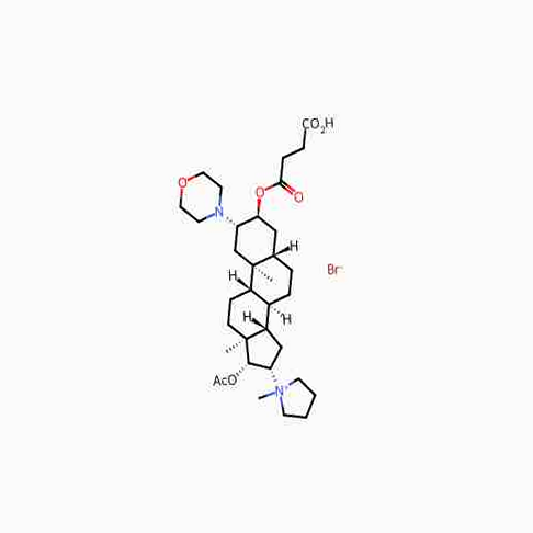 CC(=O)O[C@H]1[C@@H]([N+]2(C)CCCC2)C[C@H]2[C@@H]3CC[C@H]4C[C@H](OC(=O)CCC(=O)O)[C@@H](N5CCOCC5)C[C@]4(C)[C@H]3CC[C@@]21C.[Br-]